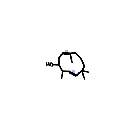 C/C1=C\CC(O)C(C)/C=C/C(C)(C)CCC1